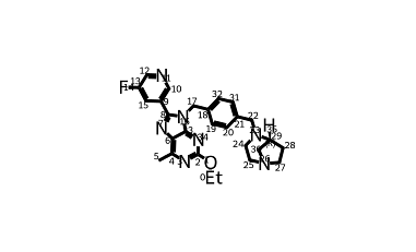 CCOc1nc(C)c2nc(-c3cncc(F)c3)n(Cc3ccc(CN4CCN5CC[C@@H]4C5)cc3)c2n1